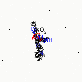 CC1(C)CCC(CNc2ncc(S(=O)(=O)NC(=O)c3ccc(N4CCC5(CCC(N6CCC[C@H]6c6ccccc6C6CC6)CC5)CC4)cc3Oc3cnc4[nH]ccc4c3)cc2[N+](=O)[O-])CC1